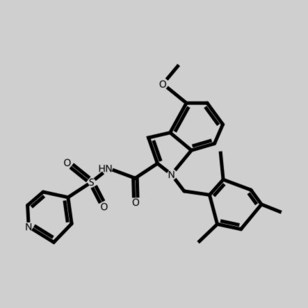 COc1cccc2c1cc(C(=O)NS(=O)(=O)c1ccncc1)n2Cc1c(C)cc(C)cc1C